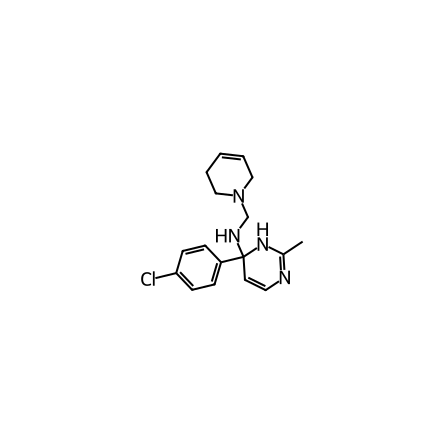 CC1=NC=CC(NCN2CC=CCC2)(c2ccc(Cl)cc2)N1